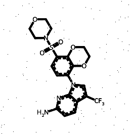 Nc1ccc2c(C(F)(F)F)cn(-c3ccc(S(=O)(=O)N4CCOCC4)c4c3OCCO4)c2n1